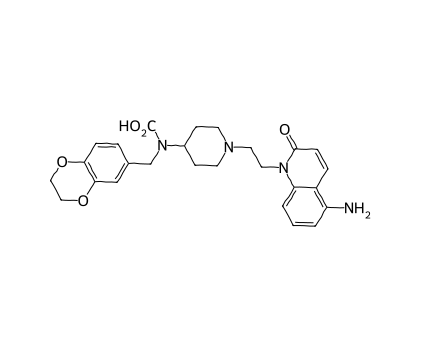 Nc1cccc2c1ccc(=O)n2CCN1CCC(N(Cc2ccc3c(c2)OCCO3)C(=O)O)CC1